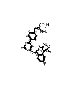 Cc1noc(C)c1-c1cc(F)ccc1C(Oc1cc(-c2ccc(C[C@H](N)C(=O)O)cc2)ncn1)C(F)(F)F